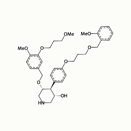 COCCCOc1cc(CO[C@H]2CNC[C@@H](O)[C@@H]2c2ccc(OCCCOCc3ccccc3OC)cc2)ccc1OC